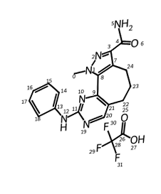 Cn1nc(C(N)=O)c2c1-c1nc(Nc3ccccc3)ncc1CCC2.O=C(O)C(F)(F)F